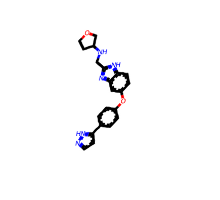 c1cc(-c2ccc(Oc3ccc4[nH]c(CNC5CCOC5)nc4c3)cc2)[nH]n1